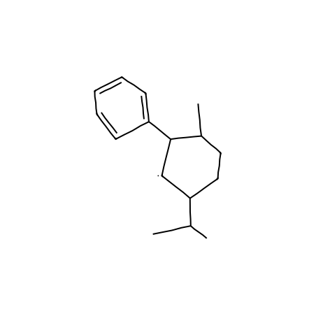 CC(C)C1[CH]C(c2ccccc2)C(C)CC1